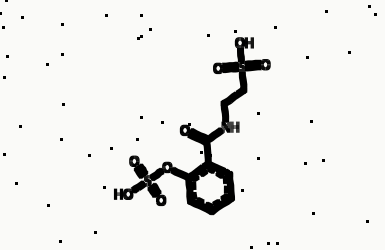 O=C(NCCS(=O)(=O)O)c1ccccc1OS(=O)(=O)O